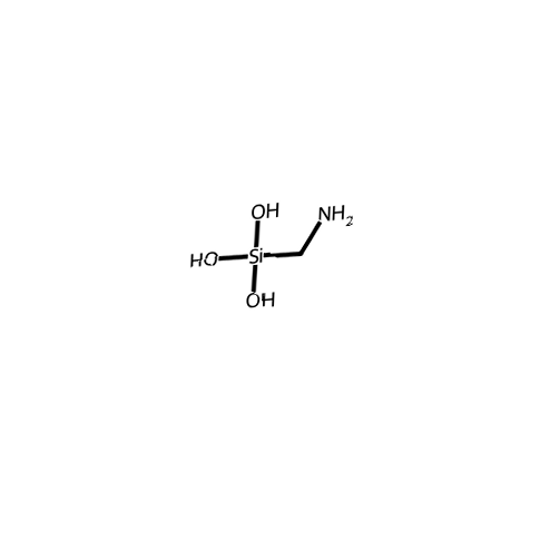 NC[Si](O)(O)O